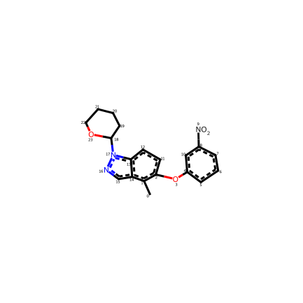 Cc1c(Oc2cccc([N+](=O)[O-])c2)ccc2c1cnn2C1CCCCO1